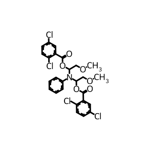 COCC(OC(=O)c1cc(Cl)ccc1Cl)N(c1ccccc1)C(COC)OC(=O)c1cc(Cl)ccc1Cl